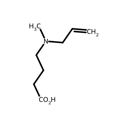 C=CCN(C)CCCC(=O)O